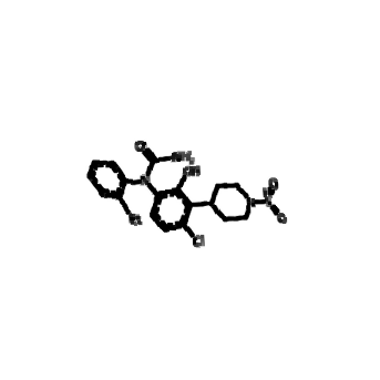 CCc1ccccc1N(C(N)=O)c1ccc(Cl)c(C2CCN([SH](=O)=O)CC2)c1O